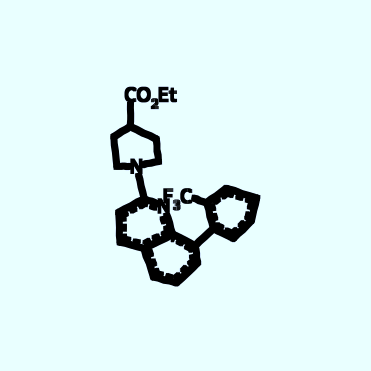 CCOC(=O)C1CCN(c2ccc3cccc(-c4ccccc4C(F)(F)F)c3n2)CC1